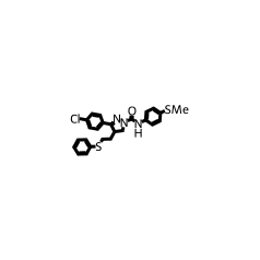 CSc1ccc(NC(=O)N2CC(CCSc3ccccc3)C(c3ccc(Cl)cc3)=N2)cc1